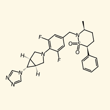 C[C@H]1CC[C@@H](c2ccccc2)S(=O)(=O)N1Cc1cc(F)c(N2C[C@@H]3[C@H](C2)[C@H]3n2cnnc2)c(F)c1